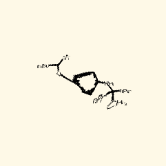 CCCCC(CCC)Oc1ccc(NC(C)(CCC)CCC)cc1